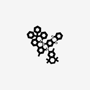 Cc1cc2c3c(c1)N(c1cc4c(cc1C)C(C)(C)CCC4(C)C)c1cc4c(cc1B3N1c3ccccc3C(c3ccccc3)(c3ccccc3)c3cccc-2c31)Sc1ccccc1S4